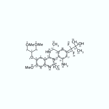 COCC(COC)Oc1cc2c(N[C@H](C)c3cc(N)cc(C(F)(F)C(C)(C)O)c3)nc(C)nc2cc1OC